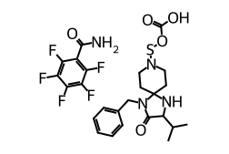 CC(C)C1NC2(CCN(SOC(=O)O)CC2)N(Cc2ccccc2)C1=O.NC(=O)c1c(F)c(F)c(F)c(F)c1F